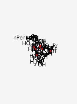 CCCCCOc1ccc(S(=O)(=O)N2CCCN(CC3=C(O)CC4C(C5=C[C@H](CC[C@H]5O)[C@H]5CC(=O)[C@@H]6NC(=O)[C@H](CC(N)=O)CC(=O)[C@H](NC(=O)[C@H](CC)CC(C)C)[C@H](O)[C@H]7C=C[C@@H](Oc8cc6cc(c8O[C@@H]6C[C@H](CO)[C@@H](O)[C@H](O)[C@H]6O[C@H]6C[C@](C)(N)[C@H](O)[C@H](C)O6)O[C@@H]6CC[C@@H](C=C6Cl)[C@@H](O)[C@H](NC5=O)C(=O)N[C@@H]4C(=O)O)[C@H](Cl)C7)[C@H]3O)C2)cc1